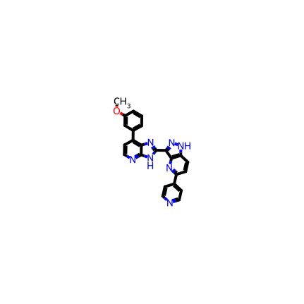 COc1cccc(-c2ccnc3[nH]c(-c4n[nH]c5ccc(-c6ccncc6)nc45)nc23)c1